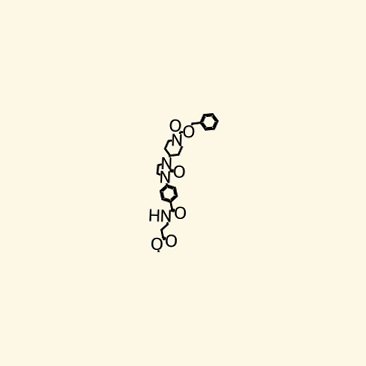 COC(=O)CCNC(=O)c1ccc(N2CCN(C3CCN(C(=O)OCc4ccccc4)CC3)C2=O)cc1